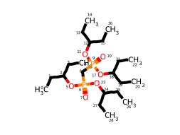 CCC(CC)OP(=O)(CP(=O)(OC(CC)CC)OC(CC)CC)OC(CC)CC